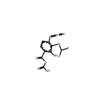 CCCC(=O)OC(=O)c1ccc(N=[N+]=[N-])c(OC(F)F)c1N